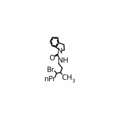 CCCC(Br)C(C)CCNC(=O)N1CCc2ccccc21